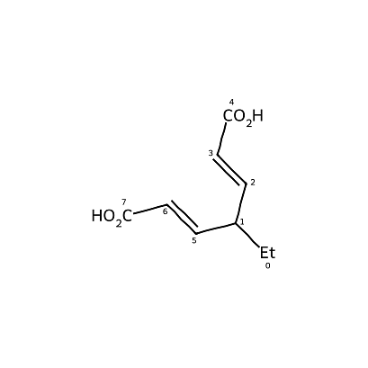 CCC(C=CC(=O)O)C=CC(=O)O